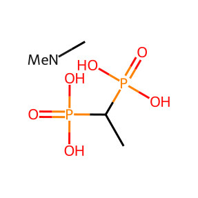 CC(P(=O)(O)O)P(=O)(O)O.CNC